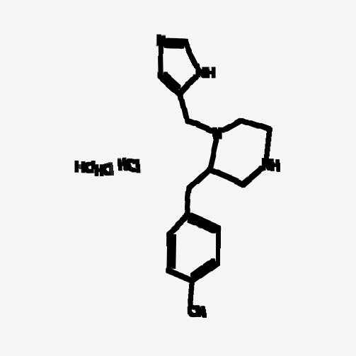 Cl.Cl.Cl.N#Cc1ccc(CC2CNCCN2Cc2cnc[nH]2)cc1